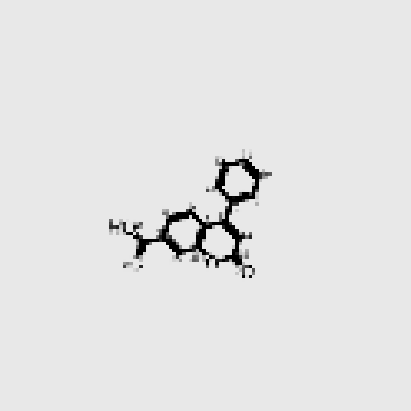 O=C(O)c1ccc2c(-c3ccccc3)cc(=O)oc2c1